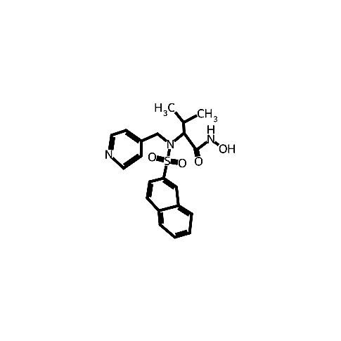 CC(C)C(C(=O)NO)N(Cc1ccncc1)S(=O)(=O)c1ccc2ccccc2c1